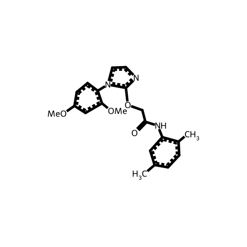 COc1ccc(-n2ccnc2OCC(=O)Nc2cc(C)ccc2C)c(OC)c1